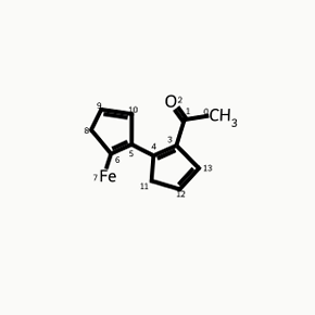 CC(=O)C1=C(C2=[C]([Fe])CC=C2)CC=C1